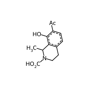 CC(=O)c1ccc2c(c1O)C(C)N(C(=O)O)CC2